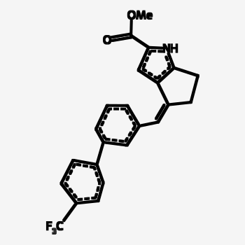 COC(=O)c1cc2c([nH]1)CCC2=Cc1cccc(-c2ccc(C(F)(F)F)cc2)c1